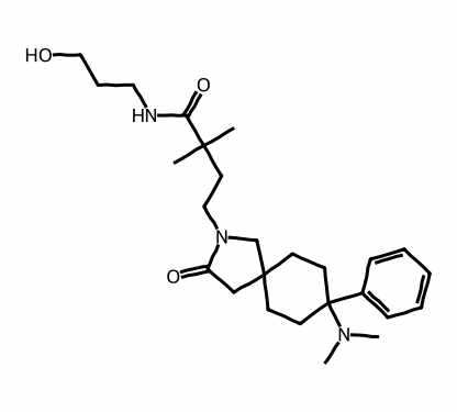 CN(C)C1(c2ccccc2)CCC2(CC1)CC(=O)N(CCC(C)(C)C(=O)NCCCO)C2